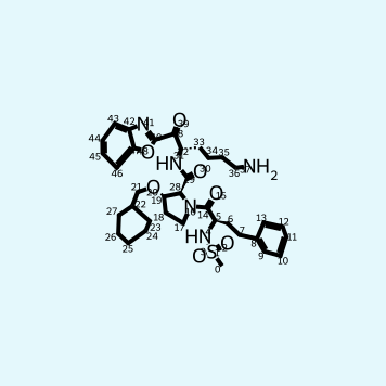 CS(=O)(=O)N[C@H](CCc1ccccc1)C(=O)N1CC[C@H](OCC2CCCCC2)[C@H]1C(=O)N[C@@H](CCCCN)C(=O)c1nc2ccccc2o1